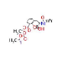 CCCC(=O)N[C@H]1Cc2cccc(C(=O)OC(C)OC(=O)OC(C)I)c2OB1O